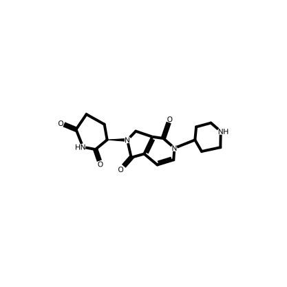 O=C1CC[C@@H](N2Cc3c(ccn(C4CCNCC4)c3=O)C2=O)C(=O)N1